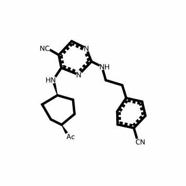 CC(=O)[C@H]1CC[C@@H](Nc2nc(NCCc3ccc(C#N)cc3)ncc2C#N)CC1